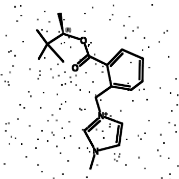 C[C@@H](OC(=O)c1ccccc1C[n+]1ccn(C)c1)C(C)(C)C